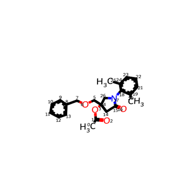 CC(=O)OC1(COCc2ccccc2)CC(=O)N(c2c(C)cccc2C)C1